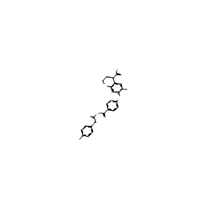 CC(Cc1ccc(Cl)cc1)NC(=O)c1ccc(Oc2cc3c(cc2Cl)C(C(=O)O)CCO3)cc1